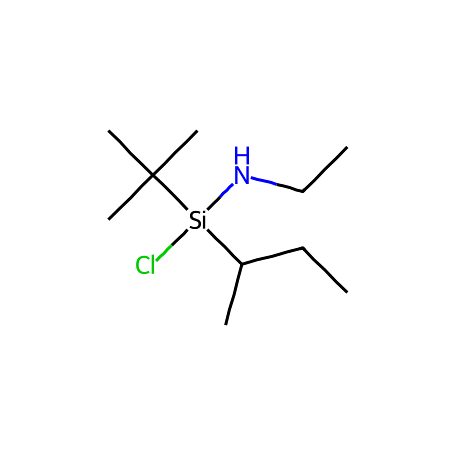 CCN[Si](Cl)(C(C)CC)C(C)(C)C